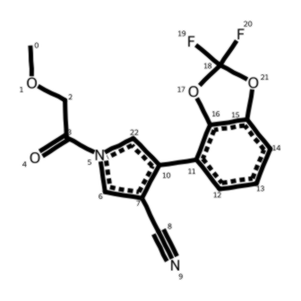 COCC(=O)n1cc(C#N)c(-c2cccc3c2OC(F)(F)O3)c1